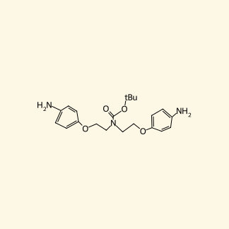 CC(C)(C)OC(=O)N(CCOc1ccc(N)cc1)CCOc1ccc(N)cc1